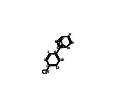 Clc1ccc(-c2cc3ccc2o3)cc1